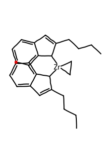 CCCCC1=Cc2ccccc2[CH]1[Zr]1([CH]2C(CCCC)=Cc3ccccc32)[CH2][CH2]1